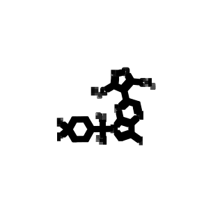 [2H]C([2H])(C1CCC(F)(F)CC1)n1cc(I)c2ncc(-c3c(C)noc3C)nc21